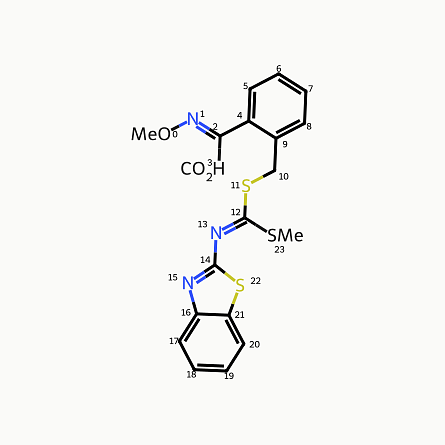 CO/N=C(\C(=O)O)c1ccccc1CS/C(=N/c1nc2ccccc2s1)SC